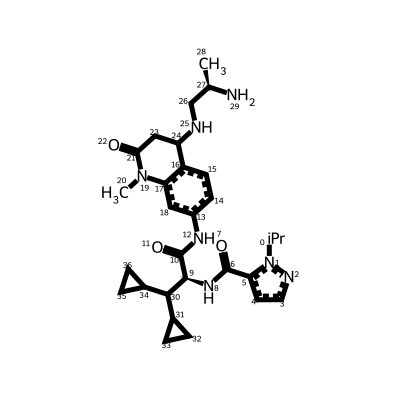 CC(C)n1nccc1C(=O)N[C@H](C(=O)Nc1ccc2c(c1)N(C)C(=O)CC2NC[C@@H](C)N)C(C1CC1)C1CC1